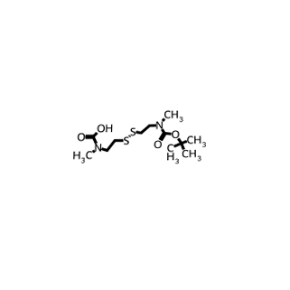 CN(CCSSCCN(C)C(=O)OC(C)(C)C)C(=O)O